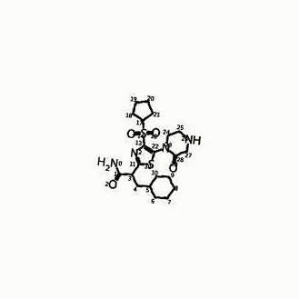 NC(=O)C(CC1CCCCC1)c1nc(S(=O)(=O)C2CCCC2)c(N2CCNCC2=O)s1